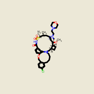 CO[C@]1(CNCCN2CCOCC2)/C=C/C[C@H](C)[C@@H](C)S(=O)(=O)NC(=O)c2ccc3c(c2)N(CCCCc2cc(Cl)ccc2CO3)C[C@@H]2CC[C@H]21